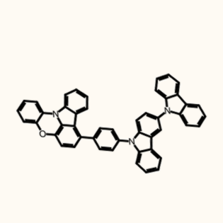 c1ccc2c(c1)Oc1ccc(-c3ccc(-n4c5ccccc5c5cc(-n6c7ccccc7c7ccccc76)ccc54)cc3)c3c4ccccc4n-2c13